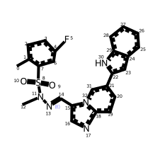 Cc1ccc(F)cc1S(=O)(=O)N(C)/N=C/c1cnc2ccc(-c3cc4ccccc4[nH]3)cn12